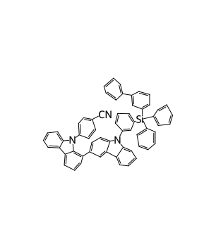 N#Cc1ccc(-n2c3ccccc3c3cccc(-c4ccc5c(c4)c4ccccc4n5-c4cccc([Si](c5ccccc5)(c5ccccc5)c5cccc(-c6ccccc6)c5)c4)c32)cc1